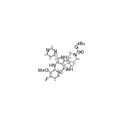 COc1c(F)cccc1Nc1c(-c2ccncn2)[nH]c2c1C(=O)NCC21CCN(C(=O)OC(C)(C)C)CC1